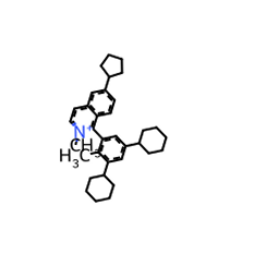 Cc1c(-c2c3ccc(C4CCCC4)cc3cc[n+]2C)cc(C2CCCCC2)cc1C1CCCCC1